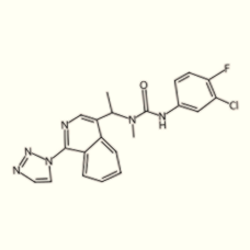 CC(c1cnc(-n2ccnn2)c2ccccc12)N(C)C(=O)Nc1ccc(F)c(Cl)c1